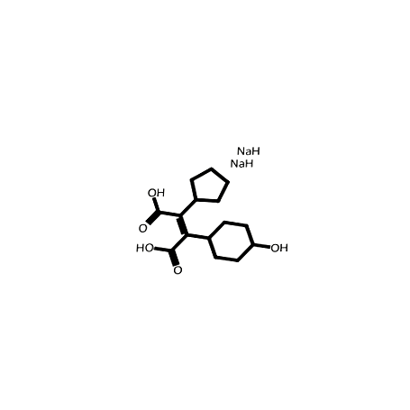 O=C(O)/C(=C(\C(=O)O)C1CCC(O)CC1)C1CCCC1.[NaH].[NaH]